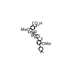 COc1cc(C(=O)O)c(F)cc1NS(=O)(=O)c1csc(-c2ccc(C3=CCC(C)(C)CC3)c(OC)c2F)n1